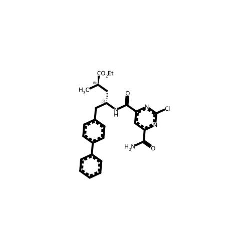 CCOC(=O)[C@H](C)C[C@@H](Cc1ccc(-c2ccccc2)cc1)NC(=O)c1cc(C(N)=O)nc(Cl)n1